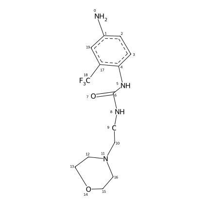 Nc1ccc(NC(=O)NCCN2CCOCC2)c(C(F)(F)F)c1